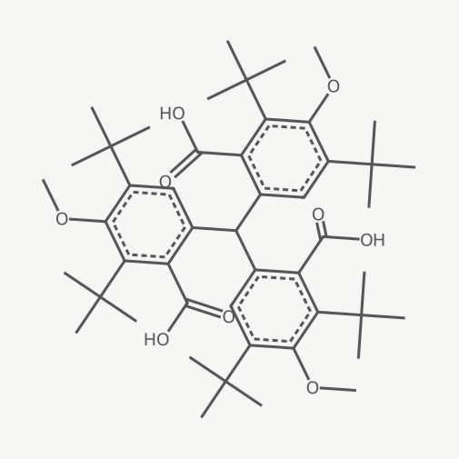 COc1c(C(C)(C)C)cc(C(c2cc(C(C)(C)C)c(OC)c(C(C)(C)C)c2C(=O)O)c2cc(C(C)(C)C)c(OC)c(C(C)(C)C)c2C(=O)O)c(C(=O)O)c1C(C)(C)C